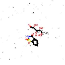 C[C@H](O)[C@@H](O)[C@@H](O)[C@H](O)C=O.O=C1NS(=O)(=O)c2ccccc21